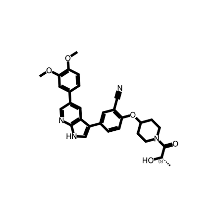 COc1ccc(-c2cnc3[nH]cc(-c4ccc(OC5CCN(C(=O)[C@H](C)O)CC5)c(C#N)c4)c3c2)cc1OC